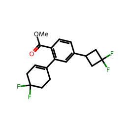 COC(=O)c1ccc(C2CC(F)(F)C2)cc1C1=CCC(F)(F)CC1